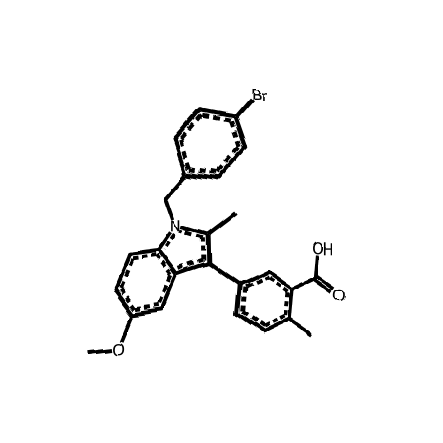 COc1ccc2c(c1)c(-c1ccc(C)c(C(=O)O)c1)c(C)n2Cc1ccc(Br)cc1